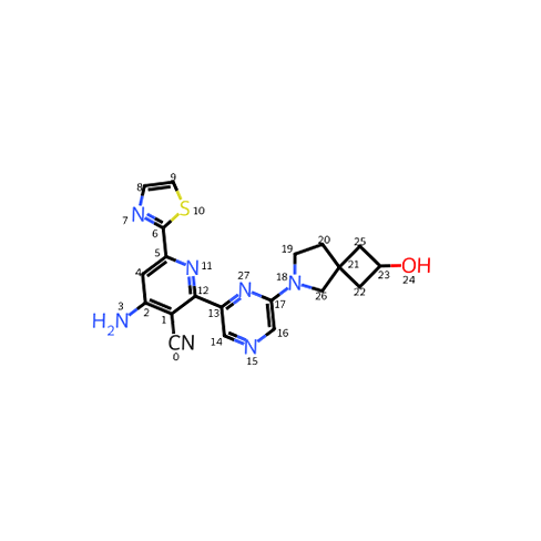 N#Cc1c(N)cc(-c2nccs2)nc1-c1cncc(N2CCC3(CC(O)C3)C2)n1